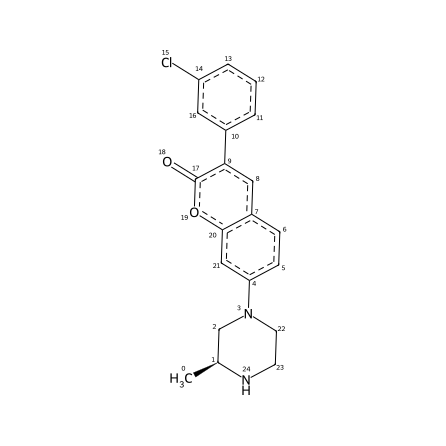 C[C@H]1CN(c2ccc3cc(-c4cccc(Cl)c4)c(=O)oc3c2)CCN1